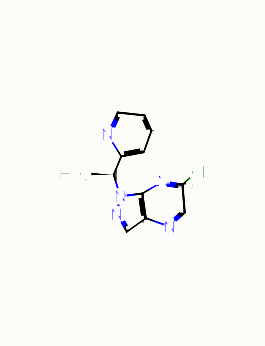 C[C@@H](c1ccccn1)n1ncc2ncc(Cl)nc21